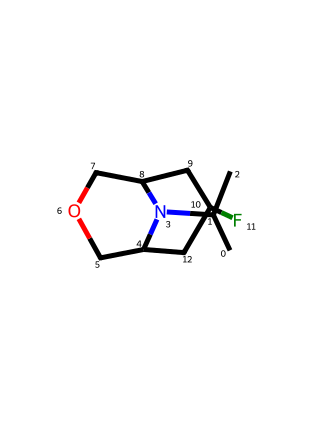 CC(C)N1C2COCC1CC(F)C2